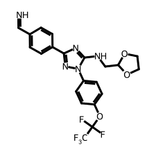 N=Cc1ccc(-c2nc(NCC3OCCO3)n(-c3ccc(OC(F)(F)C(F)(F)F)cc3)n2)cc1